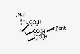 B.CC(=O)O.CC(=O)O.CC(=O)O.CCCCC[O-].[Na+]